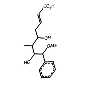 COC(c1ccccc1)C(O)C(C)C(O)CC=CC(=O)O